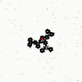 c1ccc(-c2nc(-c3ccccc3)nc(-c3ccc(-n4c5ccccc5c5cc(-n6c7ccccc7c7ccccc76)ccc54)c(-c4cc(-n5c6ccccc6c6cc(-n7c8ccccc8c8ccccc87)ccc65)ccn4)c3)n2)cc1